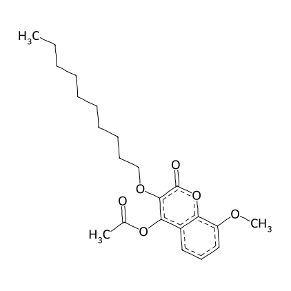 CCCCCCCCCCOc1c(OC(C)=O)c2cccc(OC)c2oc1=O